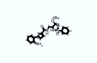 CC(C)(C)OC(=O)C(CNC(=O)c1ccc(-c2ccccc2N)s1)NS(=O)(=O)c1ccccc1